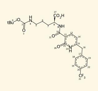 CC(C)(C)OC(=O)NCCC[C@H](NC(=O)c1ccc(Cc2ccc(C(F)(F)F)cc2)[nH]c1=O)C(=O)O